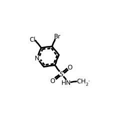 [CH2]NS(=O)(=O)c1cnc(Cl)c(Br)c1